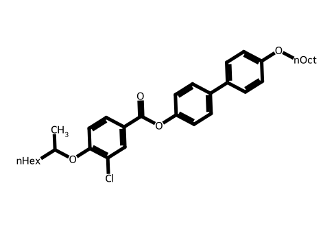 CCCCCCCCOc1ccc(-c2ccc(OC(=O)c3ccc(OC(C)CCCCCC)c(Cl)c3)cc2)cc1